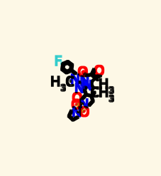 Cc1cocc1C(=O)n1nc(C2C(=O)N(S(=O)(=O)N3CCCC3)CCC2C)nc1N(C)Cc1ccc(F)cc1